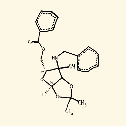 CC1(C)OC2[C@H](O[C@H](COC(=O)c3ccccc3)C2(O)NCc2ccccc2)O1